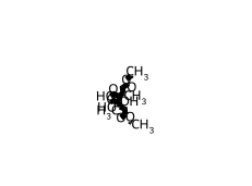 CCOC(=O)CC(C)C(C(=O)O)C(O)(C(=O)O)C(C)CC(=O)OCC